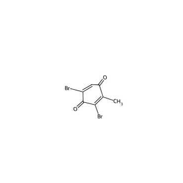 CC1=C(Br)C(=O)C(Br)=CC1=O